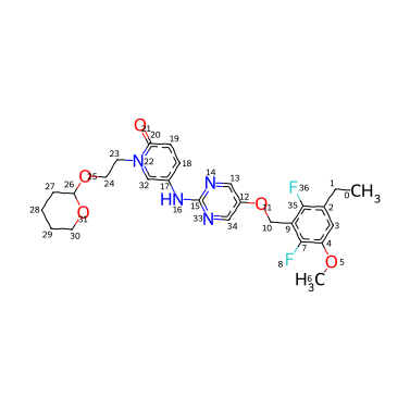 CCc1cc(OC)c(F)c(COc2cnc(Nc3ccc(=O)n(CCOC4CCCCO4)c3)nc2)c1F